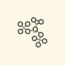 c1ccc(S(c2ccccc2)(c2ccccc2)c2cccc(-c3cc(-n4c5ccccc5c5ccccc54)cc(-c4cccc(S(c5ccccc5)(c5ccccc5)c5ccccc5)c4)n3)c2)cc1